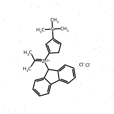 C[C](C)=[Zr+2]([C]1=CC([Si](C)(C)C)=CC1)[CH]1c2ccccc2-c2ccccc21.[Cl-].[Cl-]